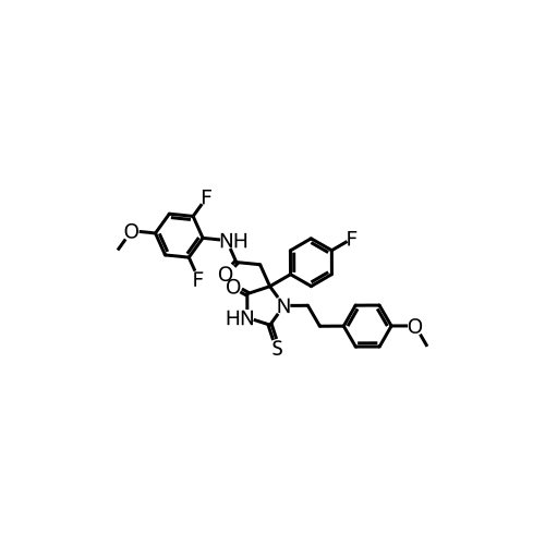 COc1ccc(CCN2C(=S)NC(=O)C2(CC(=O)Nc2c(F)cc(OC)cc2F)c2ccc(F)cc2)cc1